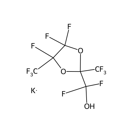 OC(F)(F)C1(C(F)(F)F)OC(F)(F)C(F)(C(F)(F)F)O1.[K]